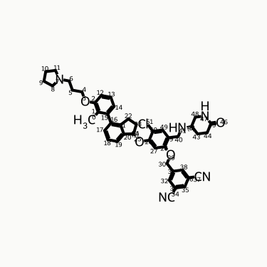 Cc1c(OCCCN2CCCC2)cccc1-c1cccc2c1CC[C@@H]2Oc1cc(OCc2cc(C#N)cc(C#N)c2)c(CN[C@H]2CCC(=O)NC2)cc1Cl